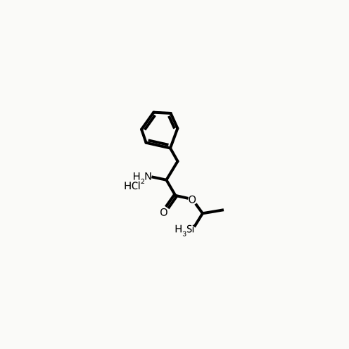 CC([SiH3])OC(=O)C(N)Cc1ccccc1.Cl